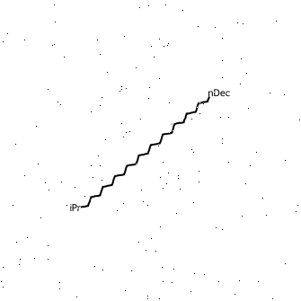 CCCCCCCCCCCCCCC[CH]CCCCCCCCCCCCCCCC(C)C